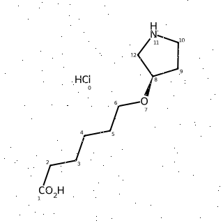 Cl.O=C(O)CCCCCO[C@@H]1CCNC1